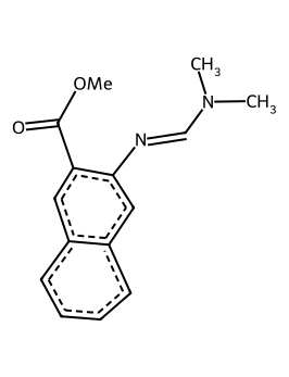 COC(=O)c1cc2ccccc2cc1/N=C/N(C)C